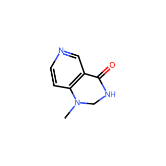 CN1CNC(=O)c2cnccc21